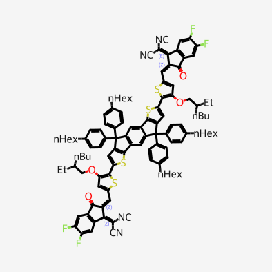 [C-]#[N+]/C(C#N)=C1\C(=C\c2cc(OCC(CC)CCCC)c(-c3cc4c(s3)-c3cc5c(cc3C4(c3ccc(CCCCCC)cc3)c3ccc(CCCCCC)cc3)-c3sc(-c4sc(/C=C6\C(=O)c7cc(F)c(F)cc7\C6=C(\C#N)[N+]#[C-])cc4OCC(CC)CCCC)cc3C5(c3ccc(CCCCCC)cc3)c3ccc(CCCCCC)cc3)s2)C(=O)c2cc(F)c(F)cc21